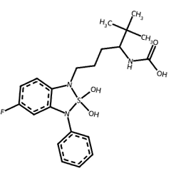 CC(C)(C)C(CCCN1c2ccc(F)cc2N(c2ccccc2)S1(O)O)NC(=O)O